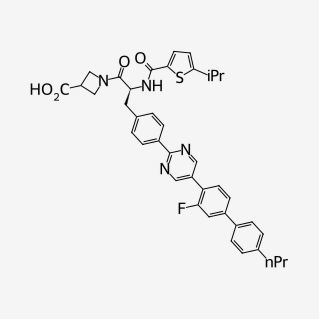 CCCc1ccc(-c2ccc(-c3cnc(-c4ccc(C[C@H](NC(=O)c5ccc(C(C)C)s5)C(=O)N5CC(C(=O)O)C5)cc4)nc3)c(F)c2)cc1